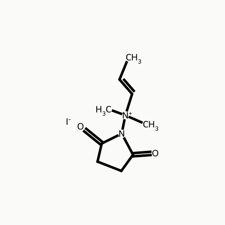 CC=C[N+](C)(C)N1C(=O)CCC1=O.[I-]